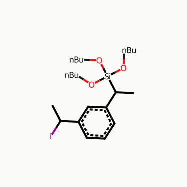 CCCCO[Si](OCCCC)(OCCCC)C(C)c1cccc(C(C)I)c1